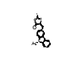 CC(=O)n1c2ccccc2c2cc(/C=C3/SC(=S)SC3=O)ccc21